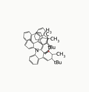 CC1C(C(C)(C)C)=CC(c2ccccc2N(c2ccccc2-c2cccc3cccc(-c4ccccc4)c23)c2cccc3c2C2=C(C=CCC2)C3(C)C)=CC1C(C)(C)C